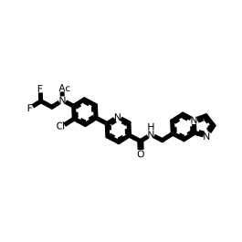 CC(=O)N(CC(F)F)c1ccc(-c2ccc(C(=O)NCc3ccn4ccnc4c3)cn2)cc1Cl